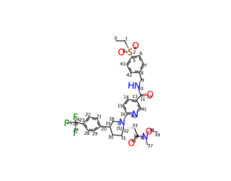 CCS(=O)(=O)c1ccc(CNC(=O)c2ccc(N3CC(c4ccc(C(F)(F)F)cc4)CC[C@H]3CC(=O)N(C)OC)nc2)cc1